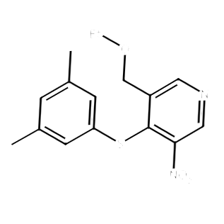 CCOCc1cncc([N+](=O)[O-])c1Sc1cc(C)cc(C)c1